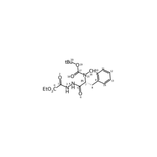 CCOC(=O)C(=O)NNC(=O)[C@@H](Cc1ccccc1)N(C)C(=O)OC(C)(C)C